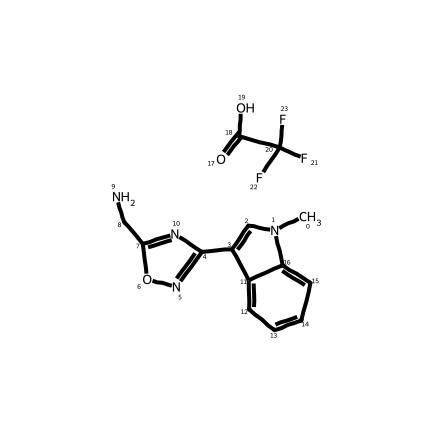 Cn1cc(-c2noc(CN)n2)c2ccccc21.O=C(O)C(F)(F)F